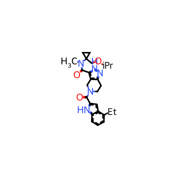 CCc1cccc2[nH]c(C(=O)N3CCc4n[nH]c(C(=O)N(C)C5(COC(C)C)CC5)c4C3)cc12